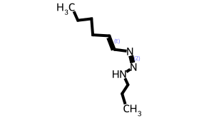 CCCC/C=C/N=N\NCCC